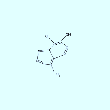 Cc1cncc2c(Cl)c(O)ccc12